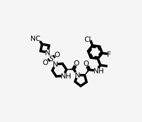 CC(NC(=O)[C@H]1CCCN1C(=O)[C@@H]1CN(S(=O)(=O)N2CC(C#N)C2)CCN1)c1ccc(Cl)cc1F